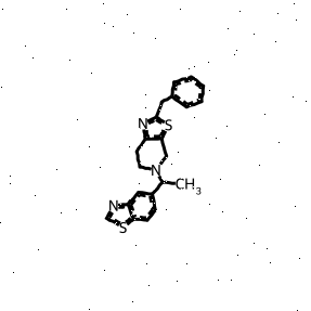 CC(c1ccc2scnc2c1)N1CCc2nc(Cc3ccccc3)sc2C1